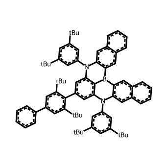 CC(C)(C)c1cc(N2c3cc4ccccc4cc3B3c4cc5ccccc5cc4N(c4cc(C(C)(C)C)cc(C(C)(C)C)c4)c4cc(-c5c(C(C)(C)C)cc(-c6ccccc6)cc5C(C)(C)C)cc2c43)cc(C(C)(C)C)c1